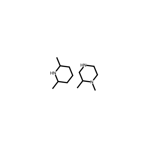 CC1CCCC(C)N1.CC1CNCCN1C